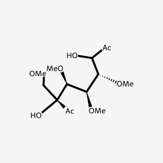 COC[C@](O)(C(C)=O)[C@@H](OC)[C@H](OC)[C@@H](OC)C(O)C(C)=O